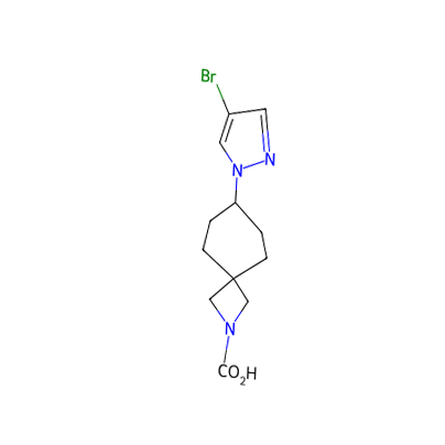 O=C(O)N1CC2(CCC(n3cc(Br)cn3)CC2)C1